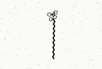 CCCCCCCCCCCCCCCCCC(=O)OB(Cl)Cl